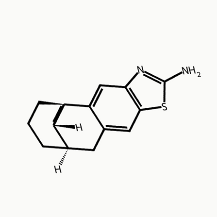 Nc1nc2cc3c(cc2s1)C[C@H]1CCC[C@@]32CCCC[C@@H]12